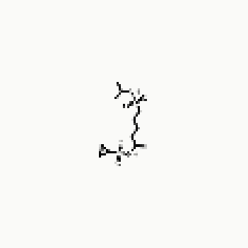 CC(C)NS(=O)(=O)CCCCC(C)NS(=O)(=O)C1CC1